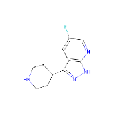 Fc1cnc2[nH]nc(C3CCNCC3)c2c1